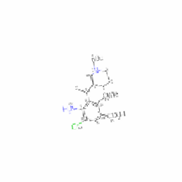 CCCCN1CCCC(C(C)c2c(N)c(Cl)cc(C(=O)O)c2OC)C1